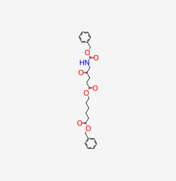 O=C(CCC(=O)OCCCCCC(=O)OCc1ccccc1)CNC(=O)OCc1ccccc1